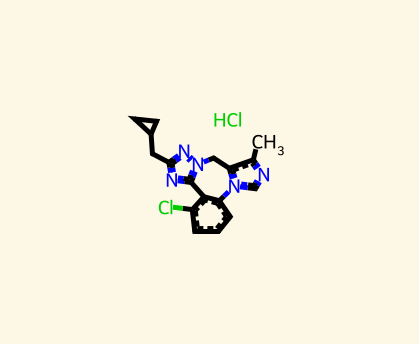 Cc1ncn2c1Cn1nc(CC3CC3)nc1-c1c(Cl)cccc1-2.Cl